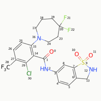 O=C(Nc1ccc2c(c1)S(=O)(=O)NC2)c1c(N2CCCC(F)(F)CC2)ccc(C(F)(F)F)c1Cl